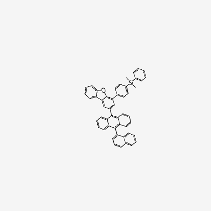 C[Si](C)(c1ccccc1)c1ccc(-c2cc(-c3c4ccccc4c(-c4cccc5ccccc45)c4ccccc34)cc3c2oc2ccccc23)cc1